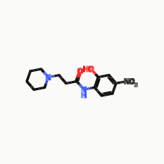 O=C(CCN1CCCCC1)Nc1ccc([N+](=O)[O-])cc1O